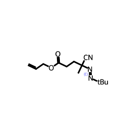 C=CCOC(=O)CCC(C)(C#N)/N=N/C(C)(C)C